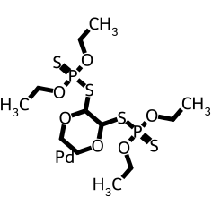 CCOP(=S)(OCC)SC1OCCOC1SP(=S)(OCC)OCC.[Pd]